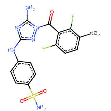 Nc1nc(Nc2ccc(S(N)(=O)=O)cc2)nn1C(=O)c1c(F)ccc([N+](=O)[O-])c1F